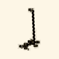 CCCCCCCCCCCCCCCCCCC(OP(=O)([O-])OCC[N+](C)(C)C)[C@@H](O)CO